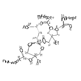 CCCCCCCC(=O)OCC(CC)(COC(=O)CCCCCCC)CO[Si]1(CCCS)OCC(CC)(OC(=O)CCCCCCC)CO1